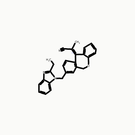 CCc1nc2ccccc2n1Cc1ccc2c(c1)COc1ccccc1/C2=C(\C)C#N